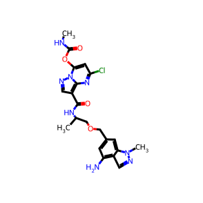 CNC(=O)Oc1cc(Cl)nc2c(C(=O)NC(C)COCc3cc(N)c4cnn(C)c4c3)cnn12